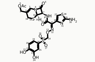 CC(=O)OCC1=CN2C(=O)[C@@H](NC(=O)/C(=N\OCS(=O)(=O)c3ccc(O)c(O)c3)c3csc(N)n3)[C@H]2SC1